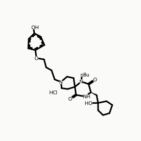 CCCCN1C(=O)[C@@H](CC2(O)CCCCC2)NC(=O)C12CCN(CCCCOc1ccc(O)cc1)CC2.Cl